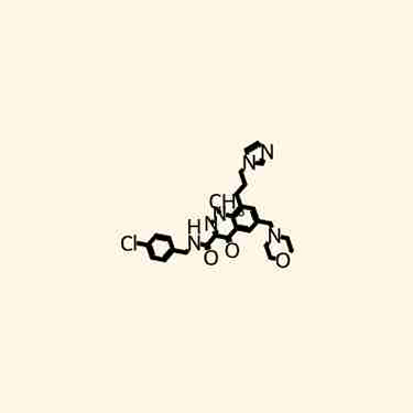 Cn1nc(C(=O)NCc2ccc(Cl)cc2)c(=O)c2cc(CN3CCOCC3)cc(CCCn3ccnc3)c21